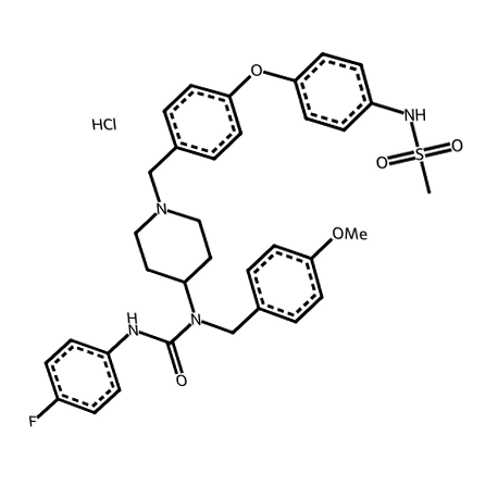 COc1ccc(CN(C(=O)Nc2ccc(F)cc2)C2CCN(Cc3ccc(Oc4ccc(NS(C)(=O)=O)cc4)cc3)CC2)cc1.Cl